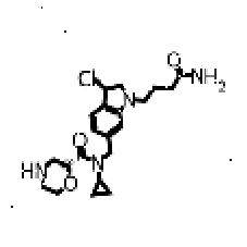 NC(=O)CCCN1CC(Cl)c2ccc(CN(C(=O)[C@H]3CNCCO3)C3CC3)cc21